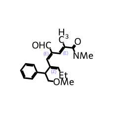 CC/C=C(/C=C(C=O)\C=C(/C)C(=O)NC)C(COC)c1ccccc1